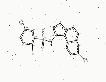 Cc1ccc2c(ccc3cnn(NS(=O)(=O)c4cc(C(F)(F)F)ccc4F)c32)c1